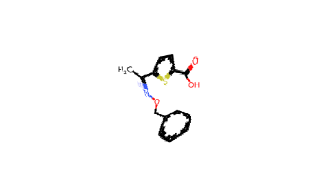 C/C(=N/OCc1ccccc1)c1ccc(C(=O)O)s1